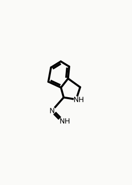 N=NC1NCc2ccccc21